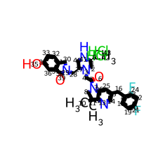 C[C@@H]1CN(CC(=O)N2CC(C)(C)c3ncc(Cc4ccc(F)cc4F)cc32)[C@@H](CN2Cc3ccc(O)cc3C2=O)CN1.Cl.Cl